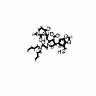 CCCCN(CCCC)C(=O)CN1C[C@H](c2cc(CO)c3c(c2)OCO3)[C@@H](C(=O)O)[C@@H]1CCN1C(=O)CCN(C)C1=O